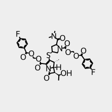 CC(O)[C@H]1C(=O)N2C(C(=O)OCOC(=O)c3ccc(F)cc3)=C(S[C@H]3CC(C(=O)N(C)C)N(C(=O)OCOC(=O)c4ccc(F)cc4)C3)[C@H](C)[C@H]12